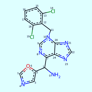 NC(c1cnco1)c1ncn(Cc2c(Cl)cccc2Cl)c2ncnc1-2